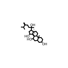 C=C(CCC(C)(O)C1CC(O)C2=C3C(O)CC4CC(O)CCC4(C)C3CC[C@@]21C)C(C)C